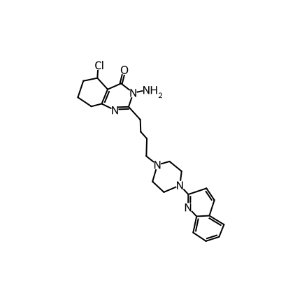 Nn1c(CCCCN2CCN(c3ccc4ccccc4n3)CC2)nc2c(c1=O)C(Cl)CCC2